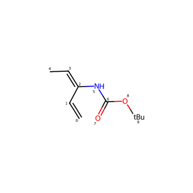 C=C/C(=C\C)NC(=O)OC(C)(C)C